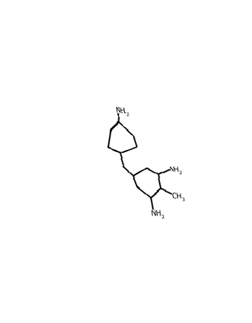 CC1C(N)CC(CC2CCC(N)CC2)CC1N